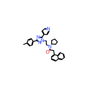 Cc1ccc(-c2nc(-c3ccncc3)n(CCN(C(=O)Cc3cccc4ccccc34)C3CCCC3)n2)cc1